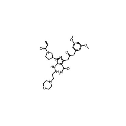 C=CC(=O)N1CC[C@H](n2nc(CC(=O)Cc3cc(OC)cc(OC)c3)c(C(N)=O)c2NCCCN2CCOCC2)C1